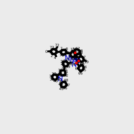 Cc1cc(C)c(-c2ccc3c4ccc(-c5c(C)cc(C)cc5C)cc4n(-c4ccc(-c5ccc6c(c5)c5ccccc5n6-c5ccccc5)cc4-c4nc(-c5ccccc5)nc(-c5ccccc5)n4)c3c2)c(C)c1